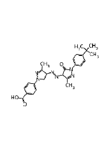 CC1=NN(c2ccc(C(=O)O)cc2)CC1/N=N/C1C(=O)N(c2ccc(C(C)(C)C)cc2)N=C1C